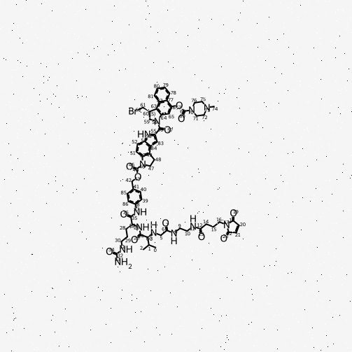 CC(C)[C@H](NCC(=O)NCCNC(=O)CCCN1C(=O)C=CC1=O)C(=O)N[C@@H](CCCNC(N)=O)C(=O)Nc1ccc(COC(=O)N2CCc3c2ccc2[nH]c(C(=O)N4C[C@@H](CBr)c5c4cc(OC(=O)N4CCN(C)CC4)c4ccccc54)cc32)cc1